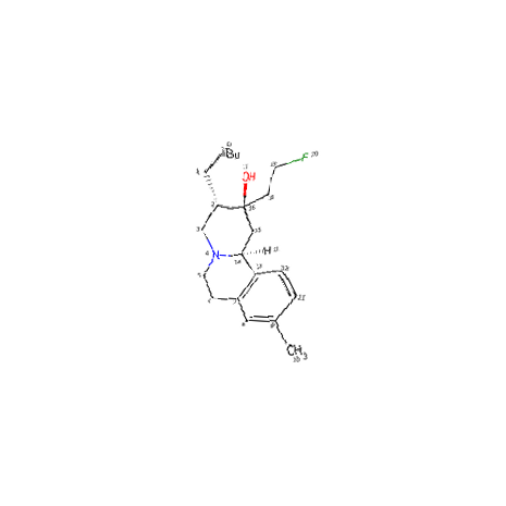 CCC(C)C[C@H]1CN2CCc3cc(C)ccc3[C@@H]2C[C@@]1(O)CCF